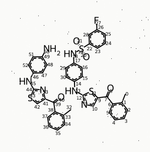 Cc1ccccc1C(=O)c1cnc(Nc2ccc(NS(=O)(=O)c3cccc(F)c3)cc2)s1.Cc1ccccc1C(=O)c1csc(Nc2ccc(N)cc2)n1